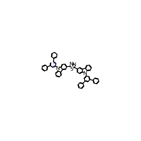 C=C(/C=C(\C=C\C1=CCCC=C1)n1c2ccccc2c2cc(-c3nnc(-c4ccc5c(c4)c4ccccc4n5-c4cc(-c5ccccc5)cc(-c5ccccc5)c4)s3)ccc21)c1ccccc1